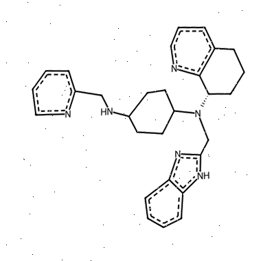 c1ccc(CNC2CCC(N(Cc3nc4ccccc4[nH]3)[C@H]3CCCc4cccnc43)CC2)nc1